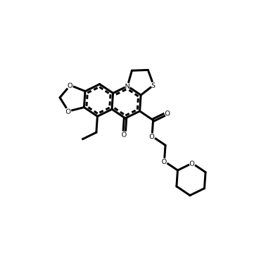 CCc1c2c(cc3c1c(=O)c(C(=O)OCOC1CCCCO1)c1n3CCS1)OCO2